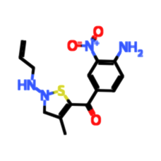 C=CCNN1CC(C)=C(C(=O)c2ccc(N)c([N+](=O)[O-])c2)S1